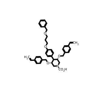 C=Cc1ccc(CO[C@H]2CN(C(=O)O)C[C@@H](OCc3ccc(C=C)cc3)C2c2ccc(OCCCOCc3ccccc3)cc2)cc1